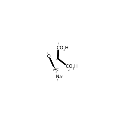 CC(=O)[O-].O=C(O)CC(=O)O.[Na+]